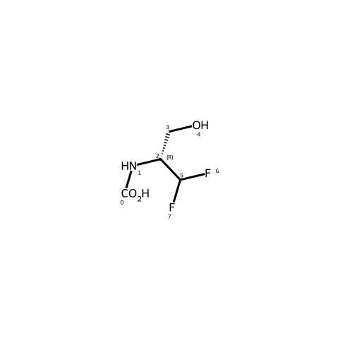 O=C(O)N[C@H](CO)C(F)F